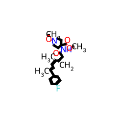 C=C(CC(=O)NC1(C(=O)OC)CCN(OC)CC1)/C(C)=C\C=C(/C)c1ccc(F)cc1